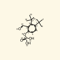 CC(C)(C)c1ccc(OP(=O)(O)O)c(C=O)c1C(C)(C)C